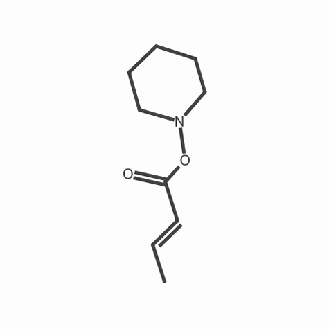 CC=CC(=O)ON1CCCCC1